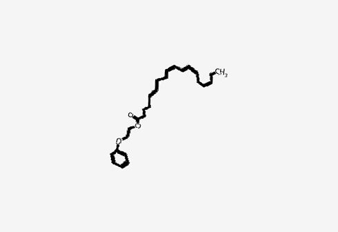 CC/C=C\C/C=C\C/C=C\CCCCCCCC(=O)OCCOc1ccccc1